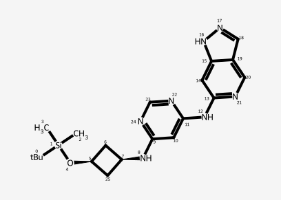 CC(C)(C)[Si](C)(C)O[C@H]1C[C@@H](Nc2cc(Nc3cc4[nH]ncc4cn3)ncn2)C1